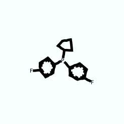 Fc1ccc(P(c2ccc(F)cc2)C2CCCC2)cc1